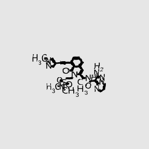 C[C@@H](NC(=O)c1c(N)nn2cccnc12)c1cc2cccc(C#Cc3cnn(C)c3)c2c(=O)n1CCS(=O)(=O)N(C)C